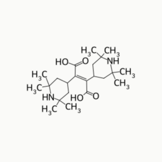 CC1(C)CC(C(C(=O)O)=C(C(=O)O)C2CC(C)(C)NC(C)(C)C2)CC(C)(C)N1